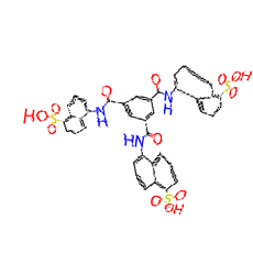 O=C(Nc1cccc2c(S(=O)(=O)O)cccc12)c1cc(C(=O)Nc2cccc3c(S(=O)(=O)O)cccc23)cc(C(=O)Nc2cccc3c(S(=O)(=O)O)cccc23)c1